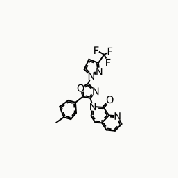 Cc1ccc(-c2oc(-n3ccc(C(F)(F)F)n3)nc2-n2ccc3cccnc3c2=O)cc1